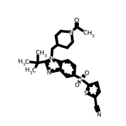 CC(=O)N1CCC(Cn2c(C(C)(C)C)nc3cc(S(=O)(=O)c4ccc(C#N)s4)ccc32)CC1